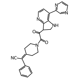 N#CC(=C1CCN(C(=O)C(=O)C2CNc3c(-c4cnccn4)ccnc32)CC1)c1ccccc1